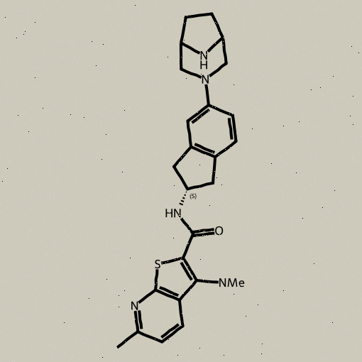 CNc1c(C(=O)N[C@H]2Cc3ccc(N4CC5CCC(C4)N5)cc3C2)sc2nc(C)ccc12